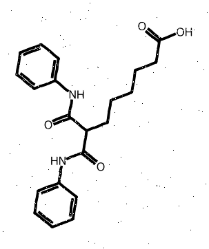 O=C(O)CCCCCC(C(=O)Nc1ccccc1)C(=O)Nc1ccccc1